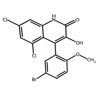 COc1ccc(Br)cc1-c1c(O)c(=O)[nH]c2cc(Cl)cc(Cl)c12